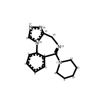 c1ccc2c(c1)C(N1CCCCC1)=NCc1nncn1-2